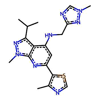 Cc1ncsc1-c1cc(NCc2ncn(C)n2)c2c(C(C)C)nn(C)c2n1